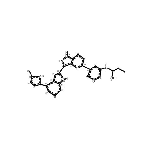 CCC(O)Nc1cncc(-c2ccc3[nH]nc(-c4cc5c(-c6ccc(C)s6)cccc5[nH]4)c3n2)c1